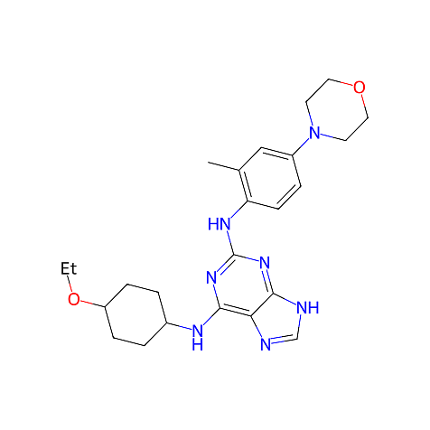 CCOC1CCC(Nc2nc(Nc3ccc(N4CCOCC4)cc3C)nc3[nH]cnc23)CC1